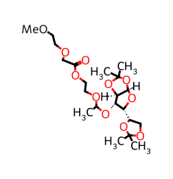 COCCOCC(=O)OCCOC(C)O[C@@H]1[C@H]2OC(C)(C)O[C@H]2O[C@@H]1C1COC(C)(C)O1